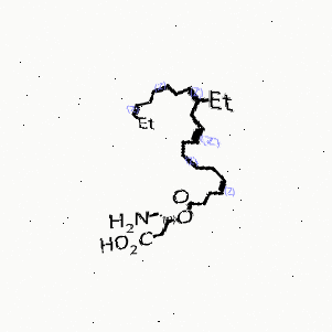 CC/C=C\C/C=C\C/C=C(/CC)C/C=C\C/C=C\C/C=C\CCC(=O)O[C@@H](CN)CC(=O)O